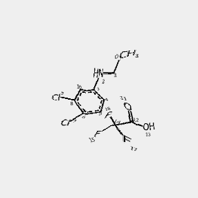 CCNc1ccc(Cl)c(Cl)c1.O=C(O)C(F)(F)F